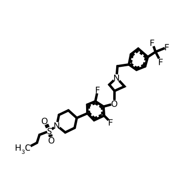 CCCS(=O)(=O)N1CCC(c2cc(F)c(OC3CN(Cc4ccc(C(F)(F)F)cc4)C3)c(F)c2)CC1